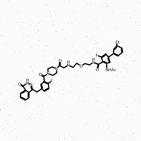 CCc1cccc(-c2cc(F)c(C(=O)NCCOCCNCC(=O)N3CCN(C(=O)c4cc(Cc5n[nH]c(=O)c6ccccc56)ccc4F)CC3)c(NC(C)=O)c2)c1